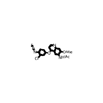 COc1cc2nccc(Oc3ccc(N=C=S)c(Cl)c3)c2cc1NC(C)=O